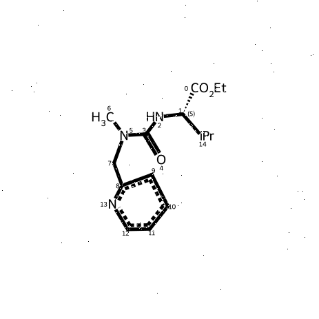 CCOC(=O)[C@@H](NC(=O)N(C)Cc1ccccn1)C(C)C